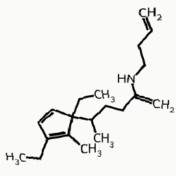 C=CCCNC(=C)CCC(C)C1(CC)C=CC(CC)=C1C